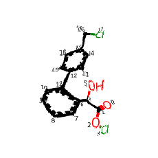 O=C(OCl)[C@H](O)c1ccccc1-c1ccc(CCl)cc1